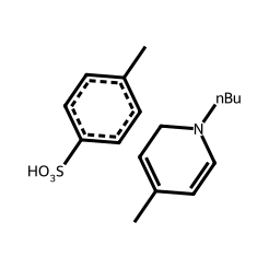 CCCCN1C=CC(C)=CC1.Cc1ccc(S(=O)(=O)O)cc1